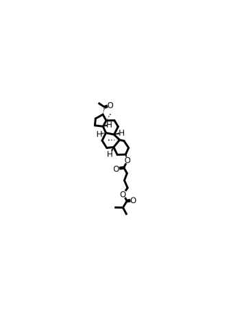 CC(=O)[C@H]1CC[C@H]2[C@@H]3CC[C@H]4C[C@H](OC(=O)CCCOC(=O)C(C)C)CC[C@]4(C)[C@H]3CC[C@]12C